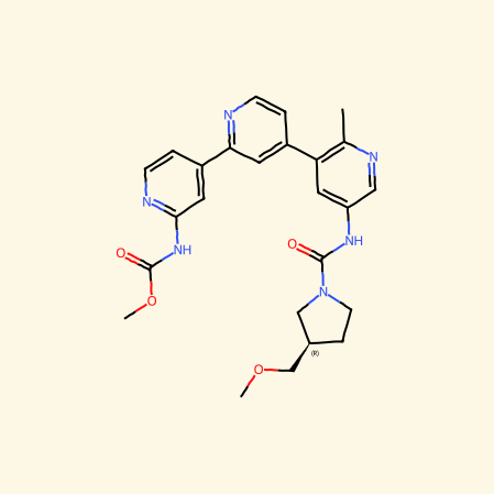 COC[C@@H]1CCN(C(=O)Nc2cnc(C)c(-c3ccnc(-c4ccnc(NC(=O)OC)c4)c3)c2)C1